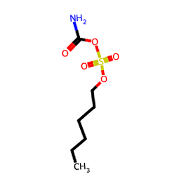 CCCCCCOS(=O)(=O)OC(N)=O